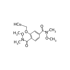 C#CCOc1cc(C(=O)N(C)OC)ccc1C(=O)N(C)OC